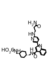 NC(=O)CCNc1ccc(-c2cc(C(=O)NC[C@H]3CC[C@H](CNC(=O)O)CC3)c3ccccc3n2)cn1